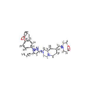 Cc1cc(N2CCN3CCC(CN4CCOCC4)CC3C2)nn1-c1ccc(OC(F)(F)F)cc1